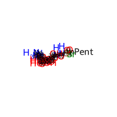 CCCCCC(=O)C(Br)C(=O)SCCNC(=O)CCNC(=O)[C@H](O)C(C)(C)COP(=O)(O)OP(=O)(O)OC[C@H]1O[C@@H](n2cnc3c(N)ncnc32)[C@H](O)[C@@H]1OP(=O)(O)O